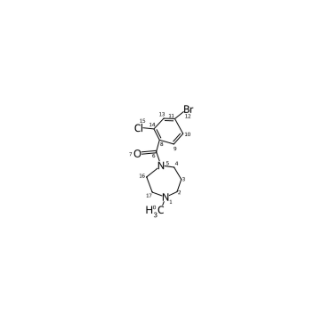 CN1CCCN(C(=O)c2ccc(Br)cc2Cl)CC1